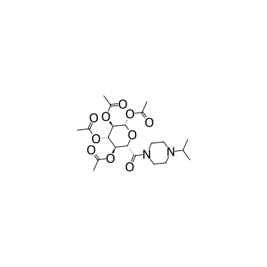 CC(=O)O[C@@H]1O[C@H](C(=O)N2CCN(C(C)C)CC2)[C@@H](OC(C)=O)[C@H](OC(C)=O)[C@H]1OC(C)=O